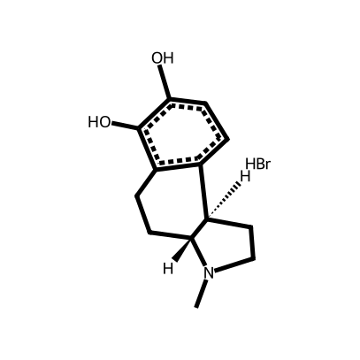 Br.CN1CC[C@@H]2c3ccc(O)c(O)c3CC[C@H]21